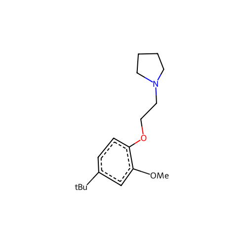 COc1cc(C(C)(C)C)ccc1OCCN1CCCC1